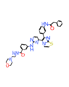 O=C(Cc1ccccc1)Nc1cccc(-c2nc3sccn3c2-c2ccnc(Nc3cccc(C(=O)NCCN4CCOCC4)c3)n2)c1